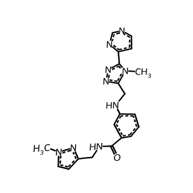 Cn1ccc(CNC(=O)c2cccc(NCc3nnc(-c4ccncn4)n3C)c2)n1